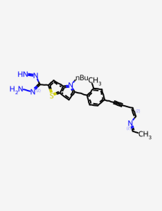 C/C=N\C=C/C#Cc1ccc(-c2cc3sc(/C(N=N)=N/N)cc3n2CCCC)c(C)c1